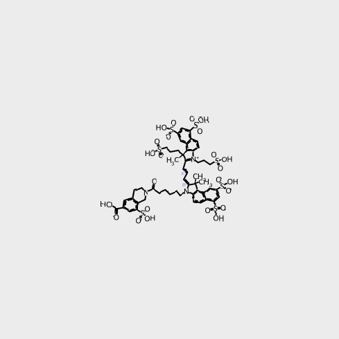 CC1(CCCS(=O)(=O)O)C(/C=C/C=C2/N(CCCCCC(=O)N3CCc4cc(C(=O)O)cc(S(=O)(=O)O)c4C3)c3ccc4c(S(=O)(=O)O)cc(S(=O)(=O)O)cc4c3C2(C)C)=[N+](CCCS(=O)(=O)O)c2ccc3c(S(=O)(=O)O)cc(S(=O)(=O)O)cc3c21